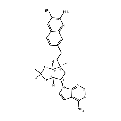 CC(C)c1cc2ccc(CC[C@@]3(C)C[C@@H](n4ccc5c(N)ncnc54)[C@@H]4OC(C)(C)O[C@@H]43)cc2nc1N